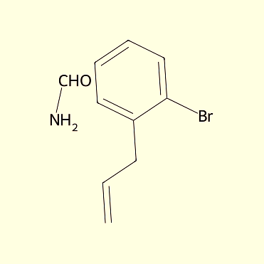 C=CCc1ccccc1Br.NC=O